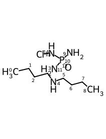 CCCCNCCCC.NP(N)(=O)NCl